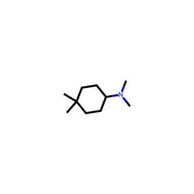 CN(C)C1CCC(C)(C)CC1